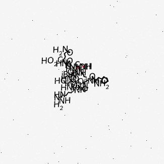 CC[C@H](C)[C@H](NC(=O)[C@H](CO)NC(=O)[C@H](CCCNC(=N)N)NC(=O)[C@@H]1CCCN1C(=O)[C@H](CCCNC(=N)N)NC(=O)[C@@H](N)Cc1ccccc1)C(=O)N[C@H](C(=O)NCC(=O)N[C@@H](CCC(N)=O)C(=O)O)[C@@H](C)O